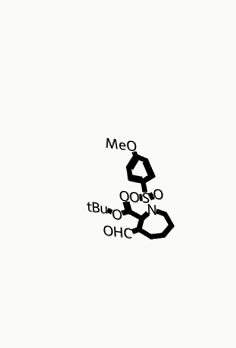 COc1ccc(S(=O)(=O)N2CCCCC(C=O)C2C(=O)OC(C)(C)C)cc1